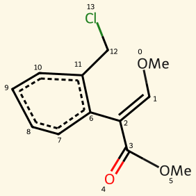 CO/C=C(/C(=O)OC)c1ccccc1CCl